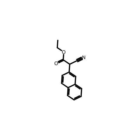 CCOC(=O)C(C#N)c1ccc2ccccc2c1